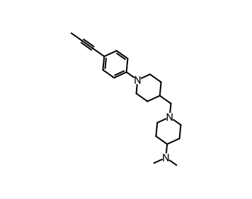 CC#Cc1ccc(N2CCC(CN3CCC(N(C)C)CC3)CC2)cc1